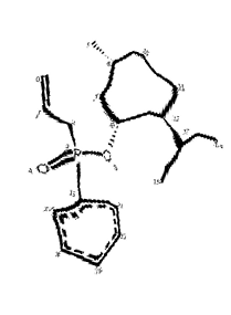 C=CC[P@@](=O)(O[C@@H]1C[C@H](C)CC[C@H]1C(C)C)c1ccccc1